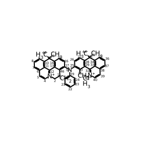 C=C1C[n+]2ccc3cccc4c3c2-c2c(ccc(N(c3ccccc3)c3ccc5c(c3C)-c3c6c(cccc6cc[n+]3C)C5(C)C)c21)C4(C)C